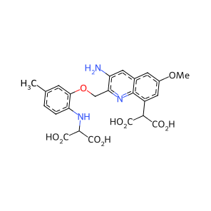 COc1cc(C(C(=O)O)C(=O)O)c2nc(COc3cc(C)ccc3NC(C(=O)O)C(=O)O)c(N)cc2c1